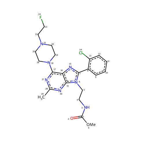 COC(=O)NCCn1c(-c2ccccc2Cl)nc2c(N3CCN(CCF)CC3)nc(C)nc21